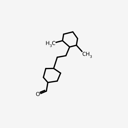 CC1CCCC(C)C1CCC1CCC(C=O)CC1